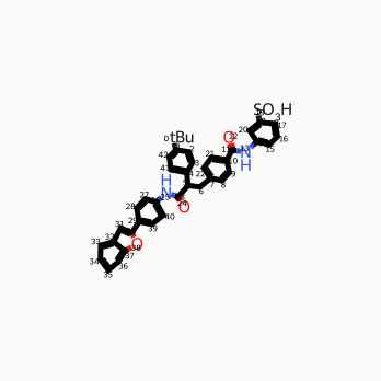 CC(C)(C)c1ccc(C(Cc2ccc(C(=O)Nc3cccc(S(=O)(=O)O)c3)cc2)C(=O)Nc2ccc(-c3cc4ccccc4o3)cc2)cc1